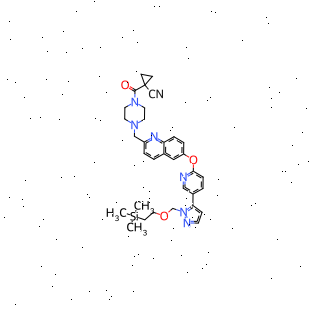 C[Si](C)(C)CCOCn1nccc1-c1ccc(Oc2ccc3nc(CN4CCN(C(=O)C5(C#N)CC5)CC4)ccc3c2)nc1